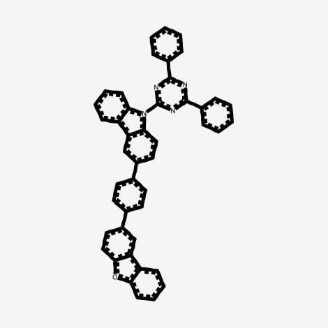 c1ccc(-c2nc(-c3ccccc3)nc(-n3c4ccccc4c4cc(-c5ccc(-c6ccc7oc8ccccc8c7c6)cc5)ccc43)n2)cc1